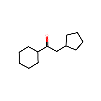 O=C(CC1CCCC1)C1CC[CH]CC1